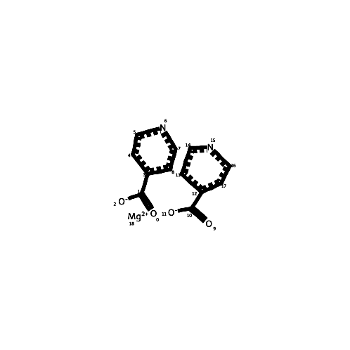 O=C([O-])c1ccncc1.O=C([O-])c1ccncc1.[Mg+2]